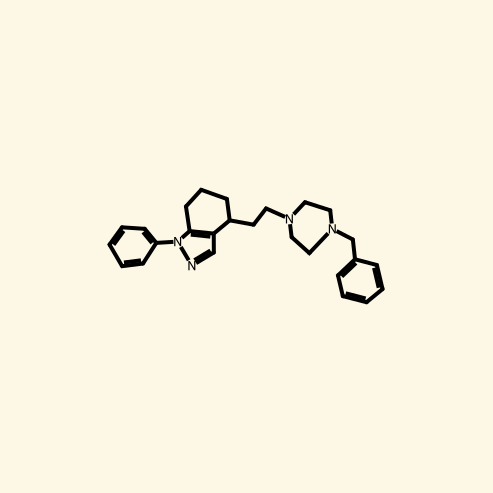 c1ccc(CN2CCN(CCC3CCCc4c3cnn4-c3ccccc3)CC2)cc1